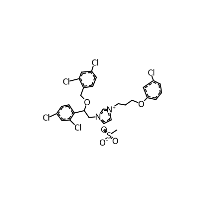 CS(=O)(=O)[O-].Clc1cccc(OCCC[n+]2ccn(CC(OCc3ccc(Cl)cc3Cl)c3ccc(Cl)cc3Cl)c2)c1